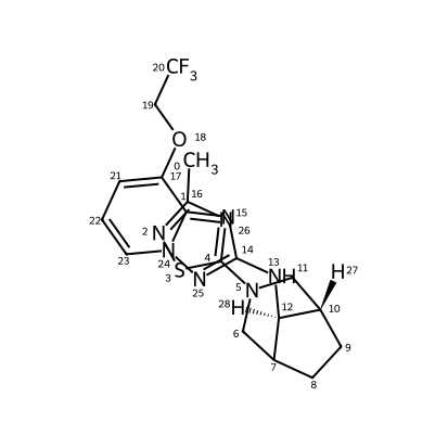 Cc1nsc(N2CC3CC[C@@H](C2)[C@@H]3Nc2nc3c(OCC(F)(F)F)cccn3n2)n1